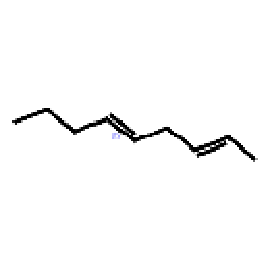 CC=CC/[C]=C/CCC